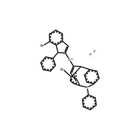 Brc1cccc2c1C(c1ccccc1)[C]([Zr+2][C]1=Cc3c4ccc(Br)c3C1c1ccc(cc1)P4c1ccccc1)=C2.[F-].[F-]